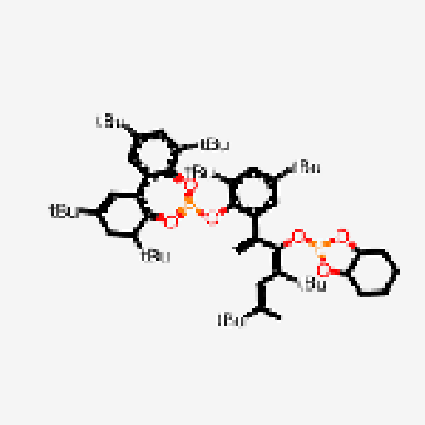 C=C(/C(OP1OC2CCCCC2O1)=C(\C=C(/C)C(C)(C)C)C(C)(C)C)c1cc(C(C)(C)C)cc(C(C)(C)C)c1Op1oc2c(c3cc(C(C)(C)C)cc(C(C)(C)C)c3o1)C=C(C(C)(C)C)CC2C(C)(C)C